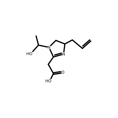 C=CCC1CN(C(C)O)C(CC(=O)O)=N1